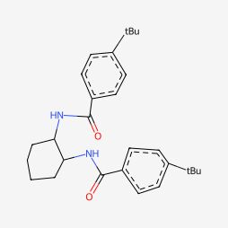 CC(C)(C)c1ccc(C(=O)NC2CCCCC2NC(=O)c2ccc(C(C)(C)C)cc2)cc1